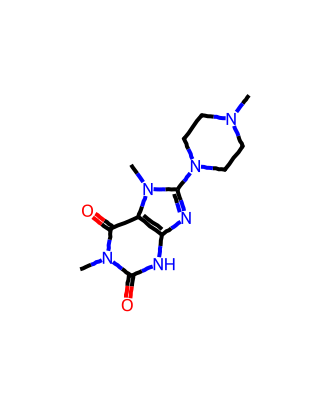 CN1CCN(c2nc3[nH]c(=O)n(C)c(=O)c3n2C)CC1